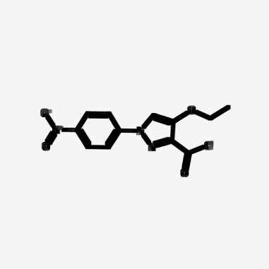 CCOc1cn(-c2ccc([N+](=O)[O-])cc2)nc1C(=O)Cl